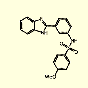 COc1ccc(S(=O)(=O)Nc2cccc(-c3nc4ccccc4[nH]3)c2)cc1